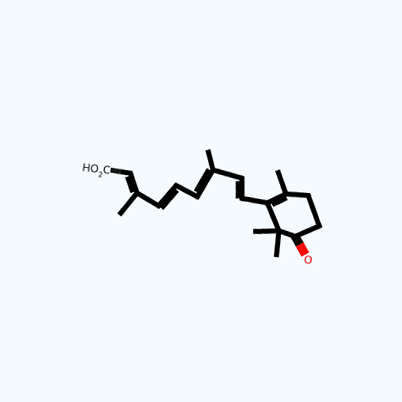 CC(C=CC1=C(C)CCC(=O)C1(C)C)=CC=CC(C)=CC(=O)O